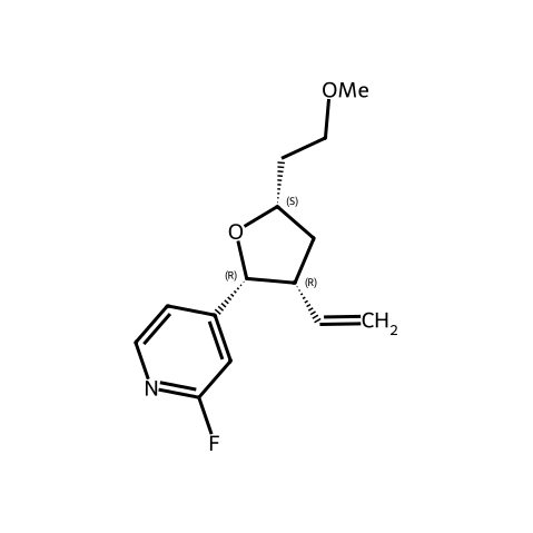 C=C[C@H]1C[C@@H](CCOC)O[C@H]1c1ccnc(F)c1